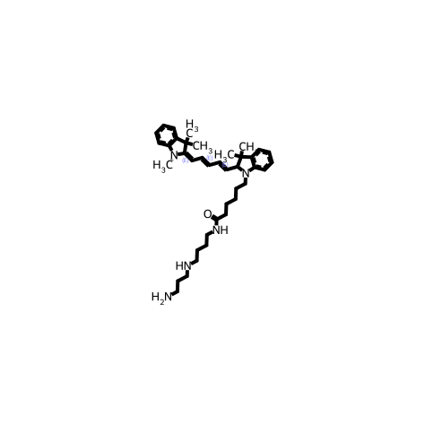 CN1/C(=C/C=C/C=C/C2N(CCCCCC(=O)NCCCCNCCCN)c3ccccc3C2(C)C)C(C)(C)c2ccccc21